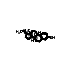 C/C=C1\CC[C@H]2[C@@H]3C=Cc4cc(O)ccc4[C@H]3CC[C@]12C